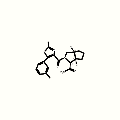 Cc1cccc(-c2sc(C)nc2C(=O)N2C[C@@H]3CCC[C@@H]3[C@H]2C(N)=O)c1